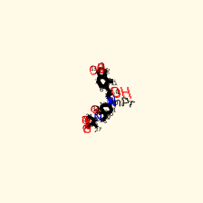 CCCN(C[C@@H](O)c1ccc2c(c1C)COC2=O)C1CCC2(CC1)CCN(C1=C(C)C(=O)OC1)C2=O